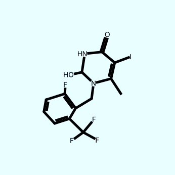 CC1=C(I)C(=O)NC(O)N1Cc1c(F)cccc1C(F)(F)F